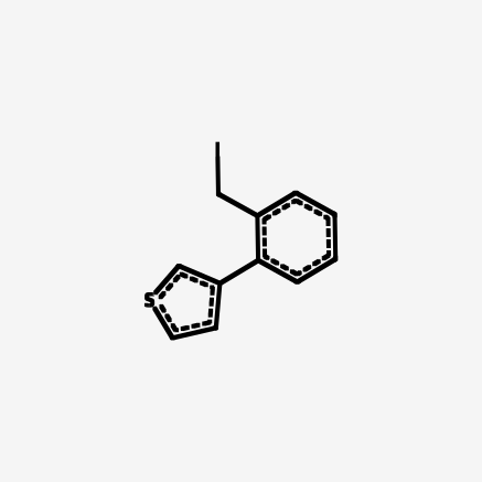 ICc1ccccc1-c1ccsc1